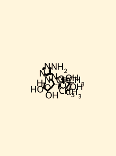 CCC(C)(OP(=O)(O)[C@@](C)(O)CC)[C@H]1c2nc3c(N)ncnc3n2[C@@H]2OC1[C@@H](O)[C@H]2O